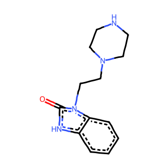 O=c1[nH]c2ccccc2n1CCN1CCNCC1